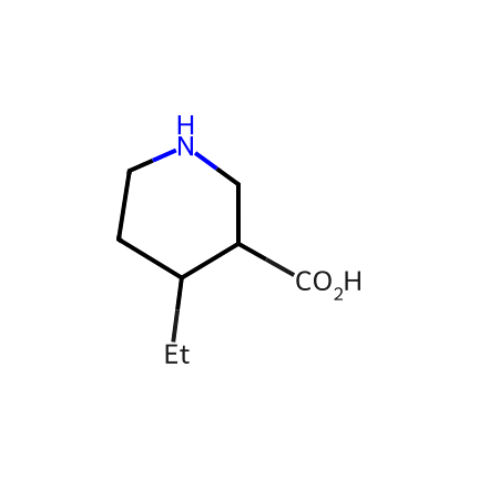 CCC1CCNCC1C(=O)O